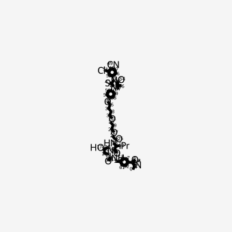 Cc1ncoc1-c1ccc(CNC(=O)[C@@H]2C[C@@H](O)CN2C(=O)C(NC(=O)COCCCOCCCCOc2ccc(N3C(=S)N(c4ccc(C#N)c(Cl)c4)C(=O)C3(C)C)cc2)C(C)C)cc1